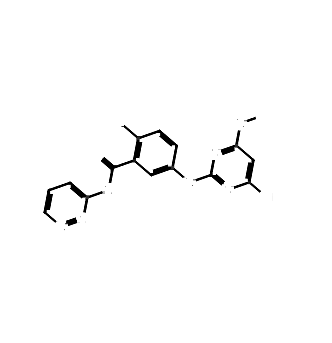 CNc1cc(C)nc(Nc2ccc(Cl)c(C(=O)Nc3cccnn3)c2)n1